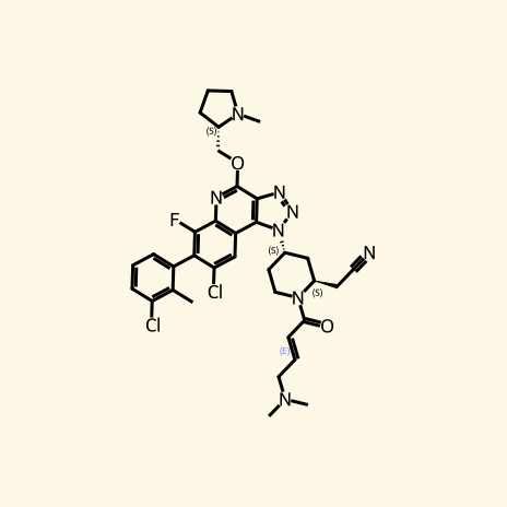 Cc1c(Cl)cccc1-c1c(Cl)cc2c(nc(OC[C@@H]3CCCN3C)c3nnn([C@H]4CCN(C(=O)/C=C/CN(C)C)[C@H](CC#N)C4)c32)c1F